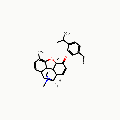 CC(C)Cc1ccc(C(C)C(=O)O)cc1.COC1=C2O[C@H]3C(=O)C=C[C@H]4[C@H]5CC(C=C1)C2[C@@]34CCN5C